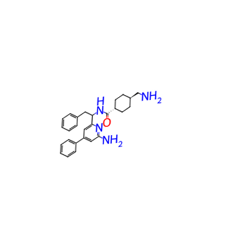 NC[C@H]1CC[C@H](C(=O)NC(Cc2ccccc2)c2cc(-c3ccccc3)cc(N)n2)CC1